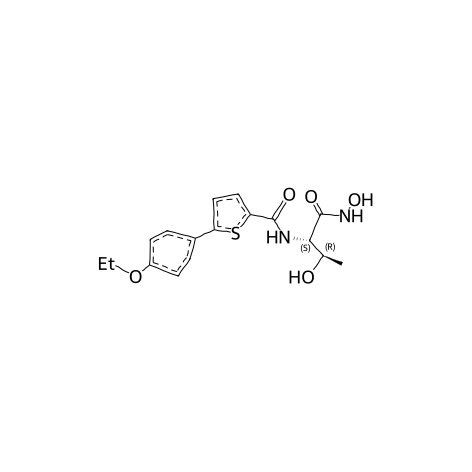 CCOc1ccc(-c2ccc(C(=O)N[C@H](C(=O)NO)[C@@H](C)O)s2)cc1